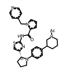 CC(=O)N1CCCC(c2ccc(N3CCC[C@@H]3c3csc(NC(=O)c4cccn4Cc4ccncc4)n3)cc2)C1